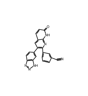 N#Cc1cccc(-c2nc3[nH]c(=O)ccc3cc2-c2ccc3nn[nH]c3c2)c1